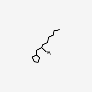 CCCCCCC(N)CC1CCCC1